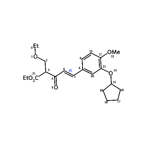 CCOCC(C(=O)/C=C/c1ccc(OC)c(OC2CCCC2)c1)C(=O)OCC